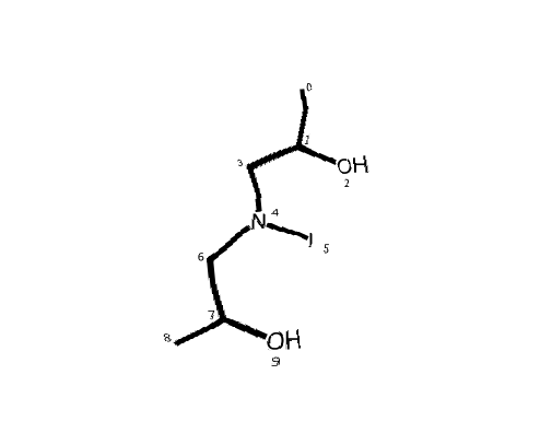 CC(O)CN(I)CC(C)O